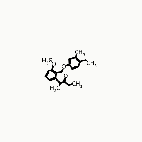 CCC(=O)C(C)c1cccc(OC)c1COc1ccc(CC)c(C)c1